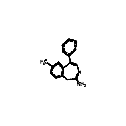 NC1=NC=C(c2ccccc2)c2cc(C(F)(F)F)ccc2C1